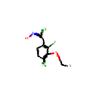 CCOc1c(Cl)ccc(/C(Cl)=N\O)c1F